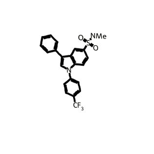 CNS(=O)(=O)c1ccc2c(c1)c(-c1ccccc1)cn2-c1ccc(C(F)(F)F)cc1